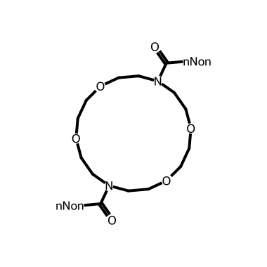 CCCCCCCCCC(=O)N1CCOCCOCCN(C(=O)CCCCCCCCC)CCOCCOCC1